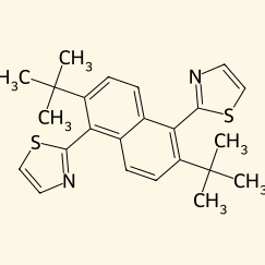 CC(C)(C)c1ccc2c(-c3nccs3)c(C(C)(C)C)ccc2c1-c1nccs1